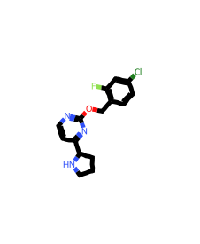 Fc1cc(Cl)ccc1COc1nccc(C2CCCN2)n1